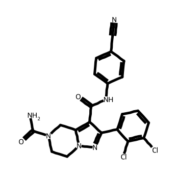 N#Cc1ccc(NC(=O)c2c(-c3cccc(Cl)c3Cl)nn3c2CN(C(N)=O)CC3)cc1